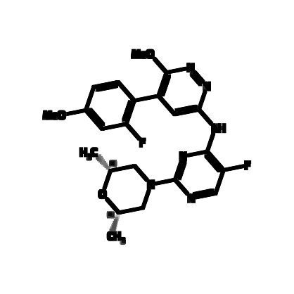 COc1ccc(-c2cc(Nc3nc(N4C[C@@H](C)O[C@@H](C)C4)ncc3F)nnc2OC)c(F)c1